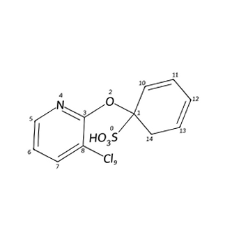 O=S(=O)(O)C1(Oc2ncccc2Cl)C=CC=CC1